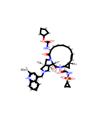 COc1cc(CN2C[C@H]3CN4C(=O)[C@H](NC(=O)OC5CCCC5)CCCCC/C=C\[C@@H]5C[C@@]5(C(=O)NS(=O)(=O)C5CC5)NC(=O)[C@@H]4[C@H]3C2)c2ccccc2n1